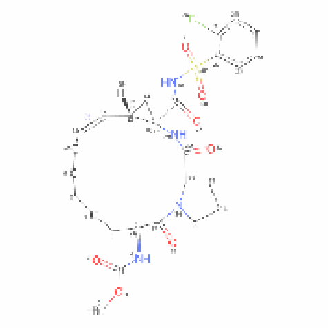 CC(C)(C)OC(=O)N[C@H]1CCCCC/C=C\[C@@H]2C[C@@]2(C(=O)NS(=O)(=O)c2ccccc2F)NC(=O)C2CCCN2C1=O